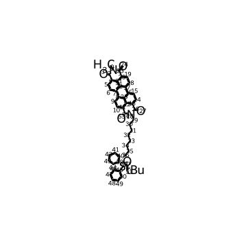 CN1C(=O)c2ccc3c4ccc5c6c(ccc(c7ccc(c2c37)C1=O)c64)C(=O)N(CCCCCCCCO[Si](c1ccccc1)(c1ccccc1)C(C)(C)C)C5=O